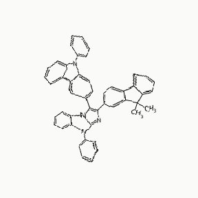 CC1(C)c2ccccc2-c2ccc(-c3nc4n(-c5ccccc5)c5ccccc5n4c3-c3ccc4c(c3)c3ccccc3n4-c3ccccc3)cc21